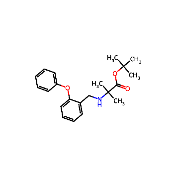 CC(C)(C)OC(=O)C(C)(C)NCc1ccccc1Oc1ccccc1